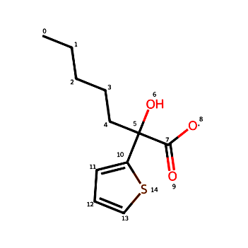 CCCCCC(O)(C([O])=O)c1cccs1